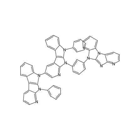 c1ccc(-n2c3ccccc3c3c4cc(-n5c6ccccc6c6c7cccnc7n(-c7ccccc7)c65)cnc4n(-c4cccc(-n5c6ccccc6n6c7cccnc7nc56)c4)c32)cc1